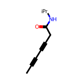 CC#CC#CCC(=O)NC(C)C